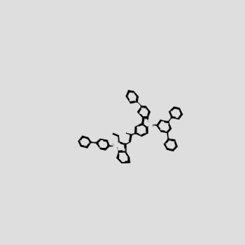 C=Cc1c(/C=C(\C)c2ccc3c(c2)c2cc(-c4ccccc4)ccc2n3-c2cc(-c3ccccc3)cc(-c3ccccc3)c2)c2ccccc2n1-c1ccc(-c2ccccc2)cc1